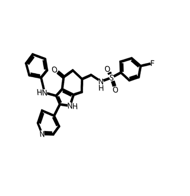 O=C1CC(CNS(=O)(=O)c2ccc(F)cc2)Cc2[nH]c(-c3ccncc3)c(Nc3ccccc3)c21